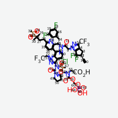 C#C[C@@H]1Cc2c(C(F)(F)F)nn(CC(=O)N[C@@H](Cc3cc(F)cc(F)c3)c3nc(CCC(C)(C)S(C)(=O)=O)ccc3-c3ccc(Cl)c4c(N(C(=O)N5CCC[C@H]5CN(CC(=O)O)C(=O)OCOP(=O)(O)O)S(C)(=O)=O)nn(CC(F)(F)F)c34)c2C1(F)F